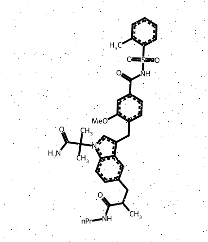 CCCNC(=O)C(C)Cc1ccc2c(c1)c(Cc1ccc(C(=O)NS(=O)(=O)c3ccccc3C)cc1OC)cn2C(C)(C)C(N)=O